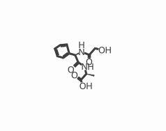 C[C@H](NC(=O)[C@H](NC(=O)CO)c1ccccc1)C(=O)O